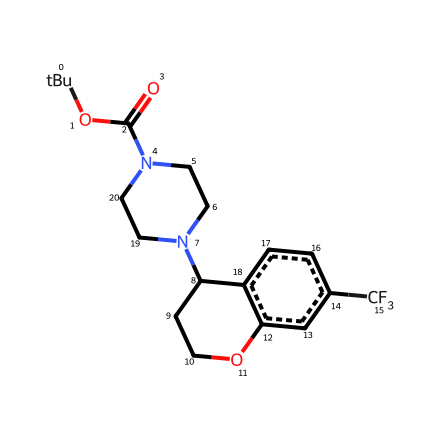 CC(C)(C)OC(=O)N1CCN(C2CCOc3cc(C(F)(F)F)ccc32)CC1